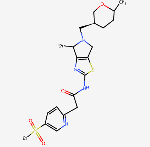 CCS(=O)(=O)c1ccc(CC(=O)Nc2nc3c(s2)CN(C[C@@H]2CCC(C(F)(F)F)OC2)C3C(C)C)nc1